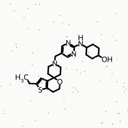 CCc1cc2c(s1)CCOC21CCN(Cc2cnc(NC3CCC(O)CC3)nc2)CC1